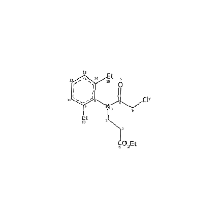 CCOC(=O)CCN(C(=O)CCl)c1c(CC)cccc1CC